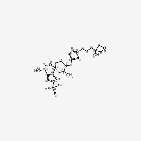 C[C@H]1C[C@@]2(CCN1Cc1cnn(CCCC3(O)COC3)c1)OC[C@@H](O)c1cc(C(F)(F)F)sc12